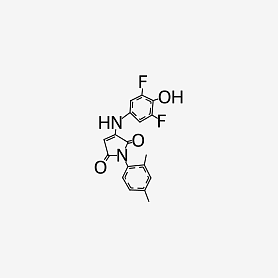 Cc1ccc(N2C(=O)C=C(Nc3cc(F)c(O)c(F)c3)C2=O)c(C)c1